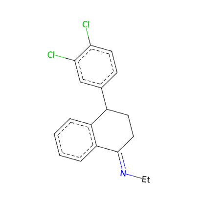 CCN=C1CCC(c2ccc(Cl)c(Cl)c2)c2ccccc21